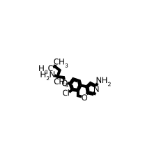 CC(C)C[C@](C)(N)COc1ccc2c(c1Cl)COc1cnc(N)cc1-2